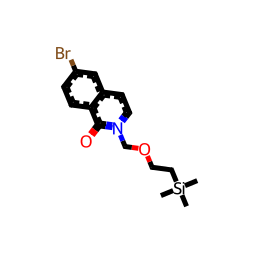 C[Si](C)(C)CCOCn1ccc2cc(Br)ccc2c1=O